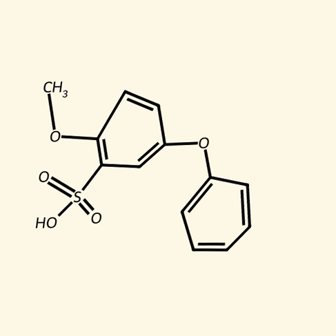 COc1ccc(Oc2ccccc2)cc1S(=O)(=O)O